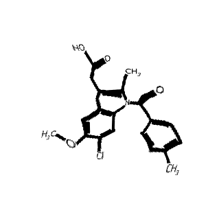 COc1cc2c(CC(=O)O)c(C)n(C(=O)c3ccc(C)cc3)c2cc1Cl